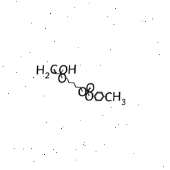 C=CC(O)OCCCCCOC(=O)Oc1ccc(C)cc1